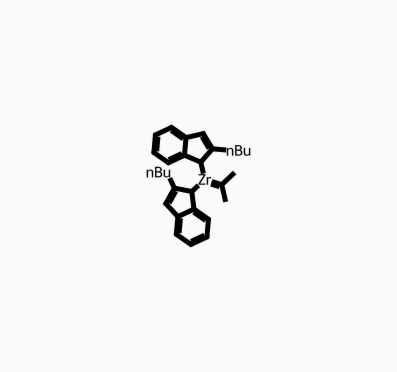 CCCCC1=Cc2ccccc2[CH]1[Zr](=[C](C)C)[CH]1C(CCCC)=Cc2ccccc21